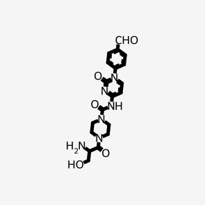 NC(CO)C(=O)N1CCN(C(=O)Nc2ccn(-c3ccc(C=O)cc3)c(=O)n2)CC1